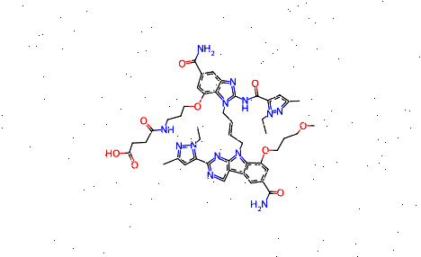 CCn1nc(C)cc1C(=O)Nc1nc2cc(C(N)=O)cc(OCCCNC(=O)CCC(=O)O)c2n1CC=CCn1c2nc(-c3cc(C)nn3CC)ncc2c2cc(C(N)=O)cc(OCCCOC)c21